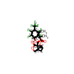 CCC(C)(C)C(=O)OC1C2CC3C1OC(=O)C3(C(=O)Oc1c(F)c(F)c(C(F)(F)F)c(F)c1F)C2